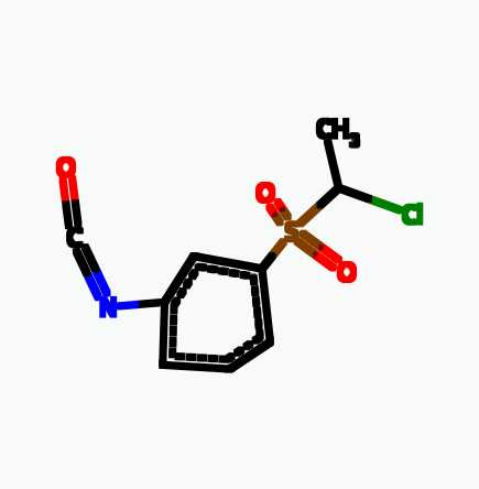 CC(Cl)S(=O)(=O)c1cccc(N=C=O)c1